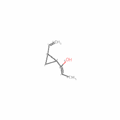 C=CC1CC1/C(O)=C/C